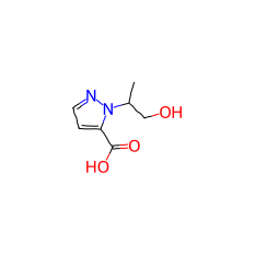 CC(CO)n1nccc1C(=O)O